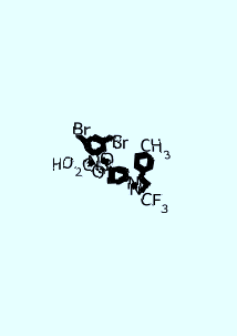 Cc1ccc(-c2cc(C(F)(F)F)nn2-c2ccc(S(=O)(=O)N(C(=O)O)c3cc(CBr)cc(CBr)c3)cc2)cc1